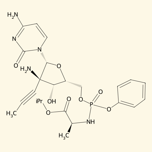 CC#C[C@@]1(N)[C@@H](O)[C@@H](COP(=O)(N[C@@H](C)C(=O)OC(C)C)Oc2ccccc2)O[C@H]1n1ccc(N)nc1=O